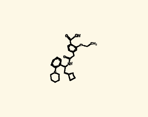 CCOc1cc(CC(=O)NC(CC2CCC2)c2ccccc2N2CCCCC2)ccc1C(=O)O